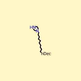 CCCCCCCCCCCCCCCCCCCCN1CCNCC1